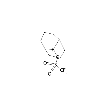 O=S(=O)(OB1C2CCCC1CCC2)C(F)(F)F